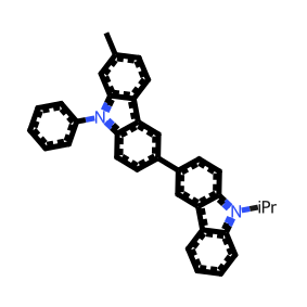 Cc1ccc2c3cc(-c4ccc5c(c4)c4ccccc4n5C(C)C)ccc3n(-c3ccccc3)c2c1